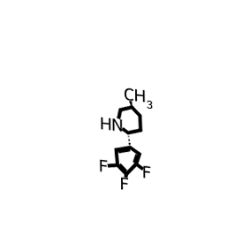 C[C@H]1CC[C@H](c2cc(F)c(F)c(F)c2)NC1